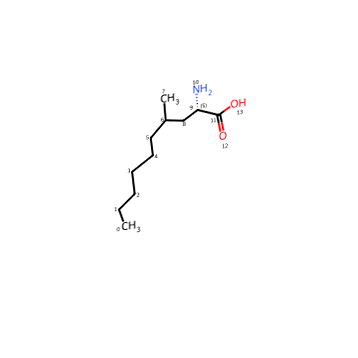 CCCCCCC(C)C[C@H](N)C(=O)O